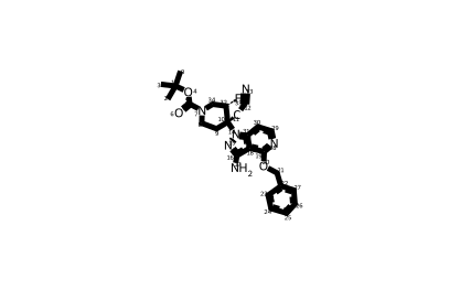 CC(C)(C)OC(=O)N1CC[C@@](CC#N)(n2nc(N)c3c(OCc4ccccc4)nccc32)[C@@H](F)C1